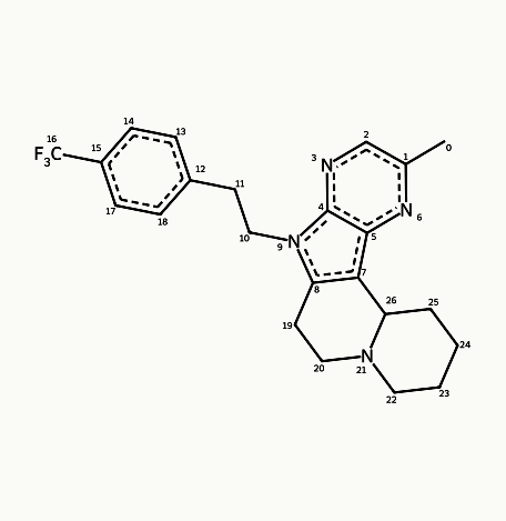 Cc1cnc2c(n1)c1c(n2CCc2ccc(C(F)(F)F)cc2)CCN2CCCCC12